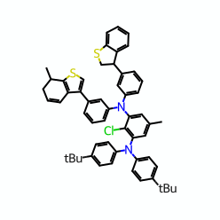 Cc1cc(N(c2ccc(C(C)(C)C)cc2)c2ccc(C(C)(C)C)cc2)c(Cl)c(N(c2cccc(-c3csc4c3C=CCC4C)c2)c2cccc(C3CSc4ccccc43)c2)c1